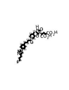 O=C(O)CCC(C(=O)O)N1C(=O)N[C@@H](CC2CCN(C(=O)CCCc3ccc(-n4cc(CCCF)nn4)cc3)CC2)C1=O